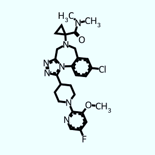 COc1cc(F)cnc1N1CCC(c2nnc3n2-c2ccc(Cl)cc2CN(C2(C(=O)N(C)C)CC2)C3)CC1